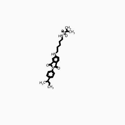 CCC(C)c1ccc(N2C(=O)c3ccc(NCCCCCNS(=O)(=O)C(C)C)cc3C2=O)cc1